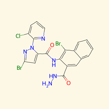 NNC(=O)c1cc2ccccc2c(Br)c1NC(=O)c1cc(Br)nn1-c1ncccc1Cl